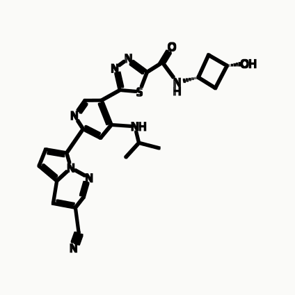 CC(C)Nc1cc(-c2ccc3cc(C#N)cnn23)ncc1-c1nnc(C(=O)N[C@H]2C[C@@H](O)C2)s1